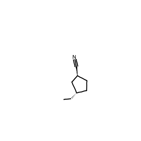 CC[C@H]1CC[C@H](C#N)C1